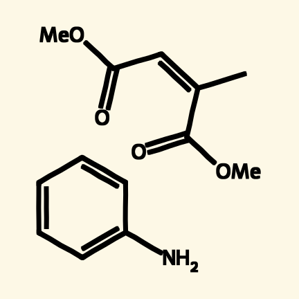 COC(=O)/C=C(/C)C(=O)OC.Nc1ccccc1